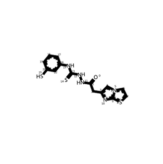 O=C(Cc1cn2ccsc2n1)NNC(=S)Nc1cccc(S)c1